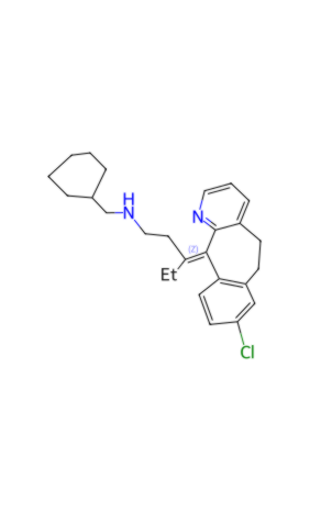 CC/C(CCNCC1CCCCC1)=C1\c2ccc(Cl)cc2CCc2cccnc21